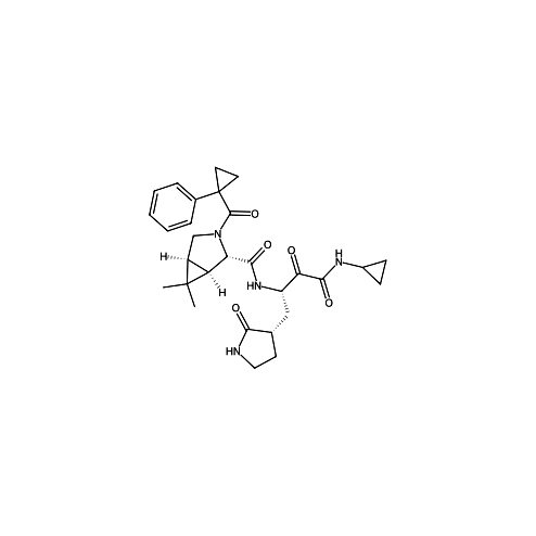 CC1(C)[C@@H]2[C@@H](C(=O)N[C@@H](C[C@@H]3CCNC3=O)C(=O)C(=O)NC3CC3)N(C(=O)C3(c4ccccc4)CC3)C[C@@H]21